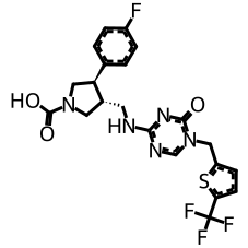 O=C(O)N1C[C@@H](CNc2ncn(Cc3ccc(C(F)(F)F)s3)c(=O)n2)[C@H](c2ccc(F)cc2)C1